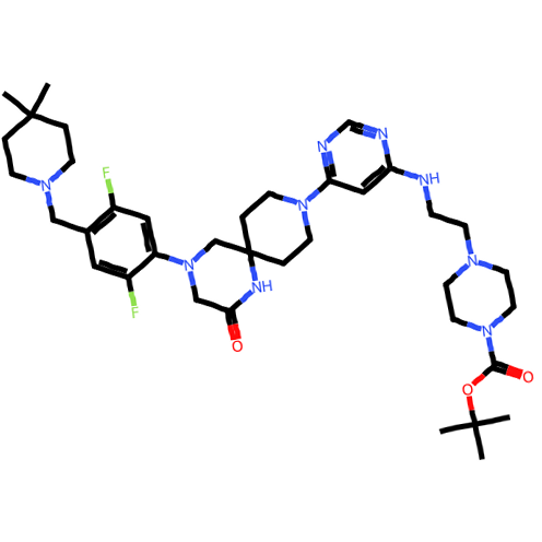 CC1(C)CCN(Cc2cc(F)c(N3CC(=O)NC4(CCN(c5cc(NCCN6CCN(C(=O)OC(C)(C)C)CC6)ncn5)CC4)C3)cc2F)CC1